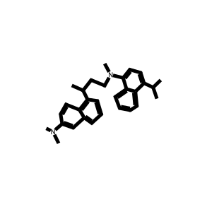 CC(C)c1ccc(N(C)CCC(C)c2cccc3cc(N(C)C)ccc23)c2ccccc12